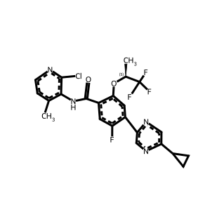 Cc1ccnc(Cl)c1NC(=O)c1cc(F)c(-c2cnc(C3CC3)cn2)cc1O[C@@H](C)C(F)(F)F